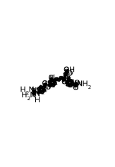 NN=C(N)Nc1ccc(C(=O)Oc2ccc(CCCC(=O)N(CC(=O)O)Cc3cccc(C(=O)ON)c3)c(Cl)c2)cc1